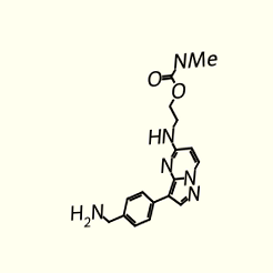 CNC(=O)OCCNc1ccn2ncc(-c3ccc(CN)cc3)c2n1